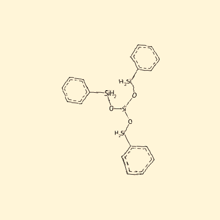 c1ccc([SiH2]O[Si](O[SiH2]c2ccccc2)O[SiH2]c2ccccc2)cc1